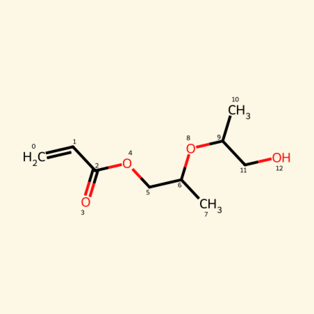 C=CC(=O)OCC(C)OC(C)CO